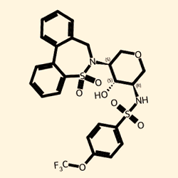 O=S(=O)(N[C@@H]1COC[C@H](N2Cc3ccccc3-c3ccccc3S2(=O)=O)[C@H]1O)c1ccc(OC(F)(F)F)cc1